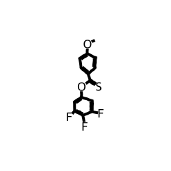 COc1ccc(C(=S)Oc2cc(F)c(F)c(F)c2)cc1